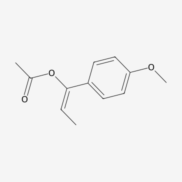 C/C=C(/OC(C)=O)c1ccc(OC)cc1